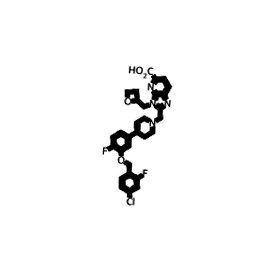 O=C(O)c1ccc2nc(CN3CC=C(c4ccc(F)c(OCc5ccc(Cl)cc5F)c4)CC3)n(CC3CCO3)c2n1